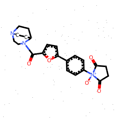 O=C(c1ccc(-c2ccc([N+]3([O-])C(=O)CCC3=O)cc2)o1)N1CCN2CCC1CC2